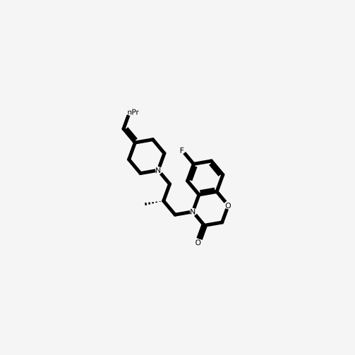 CCCC=C1CCN(C[C@@H](C)CN2C(=O)COc3ccc(F)cc32)CC1